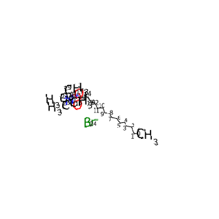 CCCCCCCCCCCCCCCC(=O)OC(C)[N+](C)(C)C.[Br-]